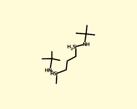 C[SiH](CCC[SiH2]NC(C)(C)C)NC(C)(C)C